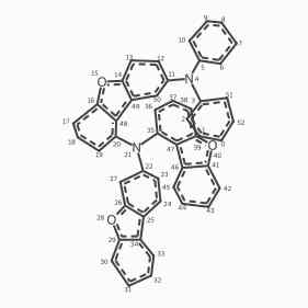 c1ccc(N(c2ccccc2)c2ccc3oc4cccc(N(c5ccc6c(c5)oc5ccccc56)c5cccc6oc7ccccc7c56)c4c3c2)cc1